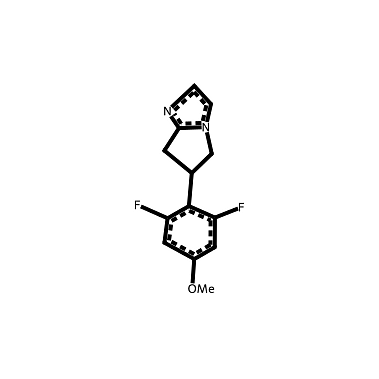 COc1cc(F)c(C2Cc3nccn3C2)c(F)c1